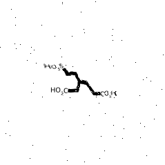 O=C(O)CCC(CCS(=O)(=O)O)CC(=O)O